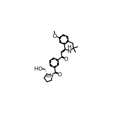 COc1ccc2c(c1)C(=CC(=O)c1cccc(C(=O)N3CCC[C@@H]3CO)c1)NC(C)(C)C2